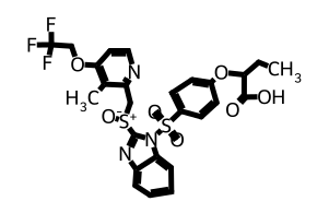 CCC(Oc1ccc(S(=O)(=O)n2c([S+]([O-])Cc3nccc(OCC(F)(F)F)c3C)nc3ccccc32)cc1)C(=O)O